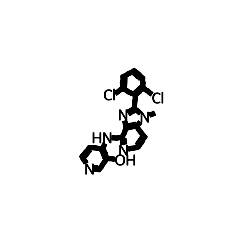 Cn1c(-c2c(Cl)cccc2Cl)nc2c(Nc3ccncc3O)nccc21